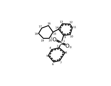 O=S(=O)(c1ccccc1)c1ccccc1C1CCCCC1